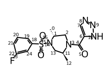 C[C@@H]1CN(C(=O)c2cnn[nH]2)[C@@H](C)CN1S(=O)(=O)c1cccc(F)c1